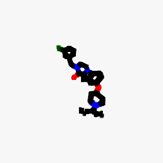 CC(C)N1CCC(Oc2ccc3c(c2)cc2n3CCN(Cc3cccc(F)c3)C2=O)CC1